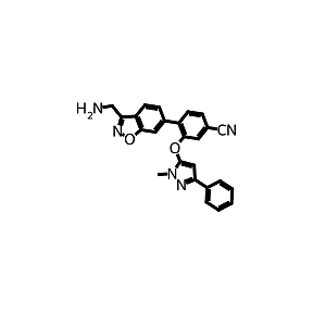 Cn1nc(-c2ccccc2)cc1Oc1cc(C#N)ccc1-c1ccc2c(CN)noc2c1